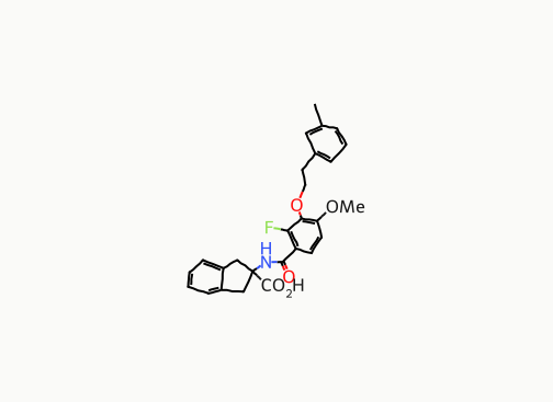 COc1ccc(C(=O)NC2(C(=O)O)Cc3ccccc3C2)c(F)c1OCCc1cccc(C)c1